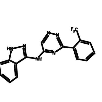 FC(F)(F)c1ccccc1-c1nncc(Nc2n[nH]c3ccccc23)n1